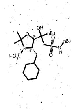 CCCCNS(=O)(=O)CC(O)(CCCC)[C@@H]1OC(C)(C)N(C(=O)O)[C@H]1CC1CCCCC1